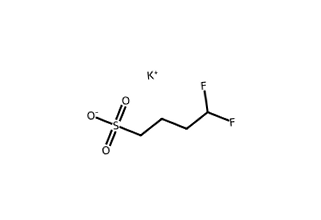 O=S(=O)([O-])CCCC(F)F.[K+]